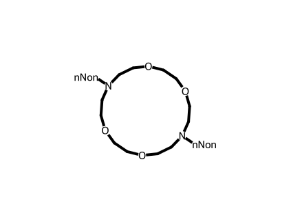 CCCCCCCCCN1CCOCCOCCN(CCCCCCCCC)CCOCCOCC1